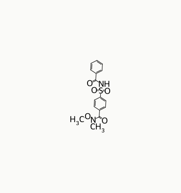 CON(C)C(=O)c1ccc(S(=O)(=O)NC(=O)c2ccccc2)cc1